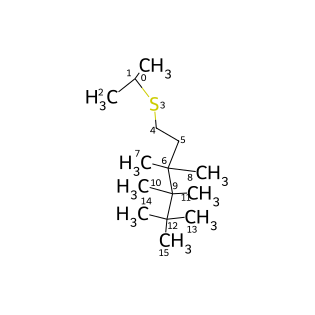 CC(C)SCCC(C)(C)C(C)(C)C(C)(C)C